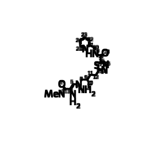 CNC(=O)/C(N)=C/N(N)CC(F)CCc1nnc(C(=O)NCc2ccccn2)s1